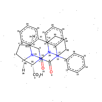 O=C(O)[C@@H]1[C@H]2CC[C@@H](CN1C(=O)N(c1ccccc1)c1ccccc1)N2C(=O)N1CCCCC1c1ccccc1